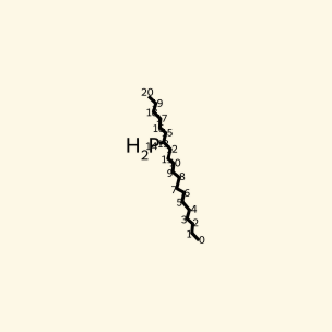 CCCCCCCCCCCCCC(P)CCCCCC